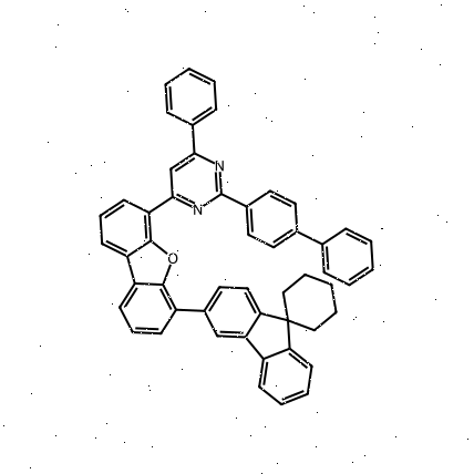 c1ccc(-c2ccc(-c3nc(-c4ccccc4)cc(-c4cccc5c4oc4c(-c6ccc7c(c6)-c6ccccc6C76CCCCC6)cccc45)n3)cc2)cc1